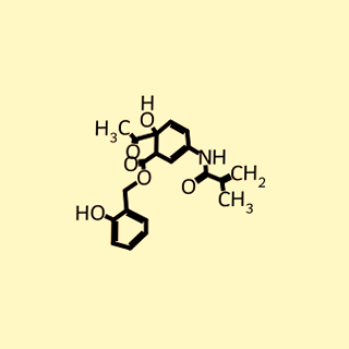 C=C(C)C(=O)NC1=CC(C(=O)OCc2ccccc2O)C(O)(C(C)=O)C=C1